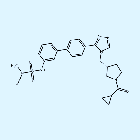 CN(C)S(=O)(=O)Nc1cccc(-c2ccc(-c3nncn3C[C@@H]3CCN(C(=O)C4CC4)C3)cc2)c1